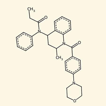 CCC(=O)N(c1ccccc1)C1CC(C)N(C(=O)c2ccc(N3CCOCC3)cc2)c2ccccc21